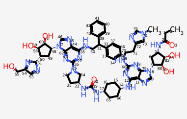 CCC(=O)N[C@H]1C[C@@H](n2cnc3c(N[C@H]4CC[C@@H](NC(=O)N[C@@H]5CCN(c6nc(NCC(c7ccccc7)c7ccccc7)c7ncn([C@@H]8C[C@H](C9N=CC(CO)=N9)[C@@H](O)[C@H]8O)c7n6)C5)CC4)nc(NCCc4cn(C)cn4)nc32)[C@H](O)[C@@H]1O